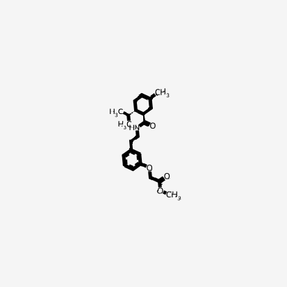 COC(=O)COc1cccc(CCNC(=O)[C@@H]2CC(C)CC[C@H]2C(C)C)c1